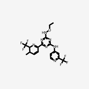 CCONc1nc(Nc2ccnc(C(F)(F)F)c2)nc(C2=NC(C(F)(F)F)C(C)C=C2)n1